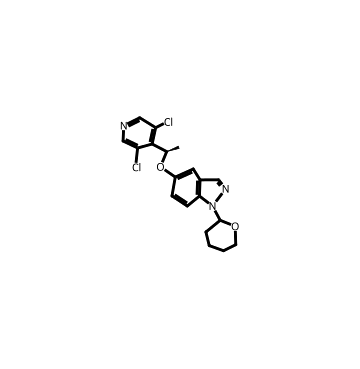 C[C@@H](Oc1ccc2c(cnn2C2CCCCO2)c1)c1c(Cl)cncc1Cl